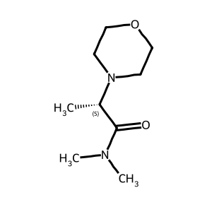 C[C@@H](C(=O)N(C)C)N1CCOCC1